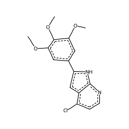 COc1cc(-c2cc3c(Cl)ccnc3[nH]2)cc(OC)c1OC